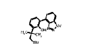 CC(C)(C)CC(C)(C)c1cccc(-c2cccc3[nH]nnc23)c1O